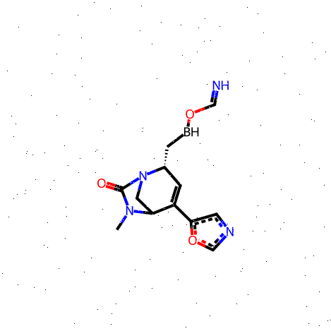 CN1C(=O)N2CC1C(c1cnco1)=C[C@H]2CBOC=N